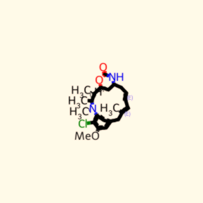 COc1cc2cc(c1Cl)N(C)C(C)[C@H](C)[C@@H]1CC(C/C=C/C=C(\C)C2)NC(=O)O1